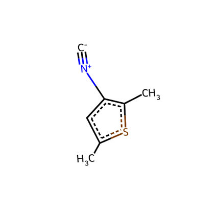 [C-]#[N+]c1cc(C)sc1C